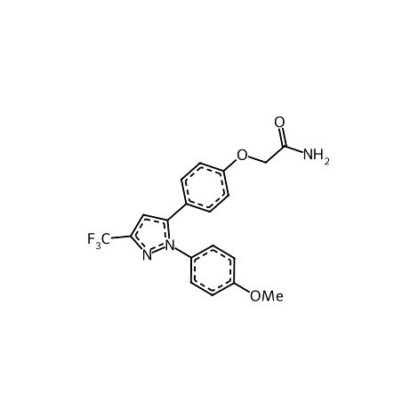 COc1ccc(-n2nc(C(F)(F)F)cc2-c2ccc(OCC(N)=O)cc2)cc1